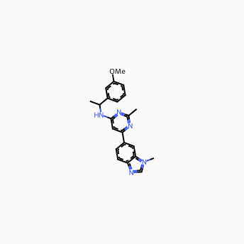 COc1cccc(C(C)Nc2cc(-c3ccc4ncn(C)c4c3)nc(C)n2)c1